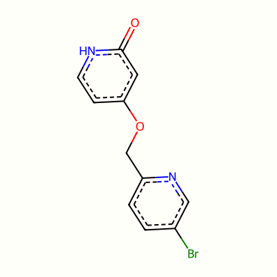 O=c1cc(OCc2ccc(Br)cn2)cc[nH]1